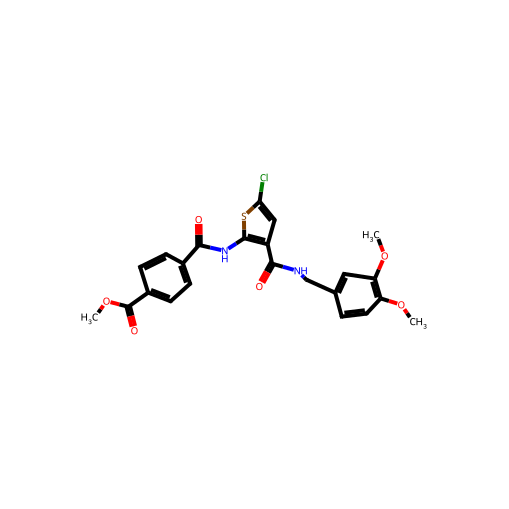 COC(=O)c1ccc(C(=O)Nc2sc(Cl)cc2C(=O)NCc2ccc(OC)c(OC)c2)cc1